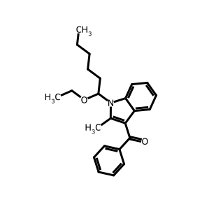 CCCCCC(OCC)n1c(C)c(C(=O)c2ccccc2)c2ccccc21